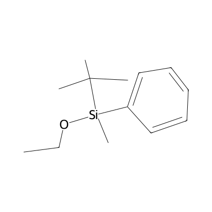 CCO[Si](C)(c1ccccc1)C(C)(C)C